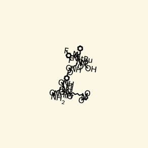 CC(C)[C@H](NC(=O)CCCCCN1C(=O)C=CC1=O)C(=O)N[C@@H](CCCNC(N)=O)C(=O)Nc1ccc(COC(=O)NCCCN(C(=O)N2CCC[C@H]2CO)[C@@H](c2nc(-c3cc(F)ccc3F)nn2Cc2ccccc2)C(C)(C)C)cc1